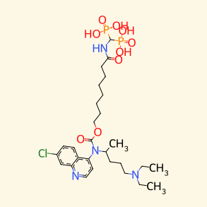 CCN(CC)CCCC(C)N(C(=O)OCCCCCCCC(=O)NC(P(=O)(O)O)P(=O)(O)O)c1ccnc2cc(Cl)ccc12